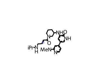 CNc1cc(-c2c[nH]c(=O)c(NC3CCCN(C(=O)/C=C/CNC(C)C)C3)c2)ccn1